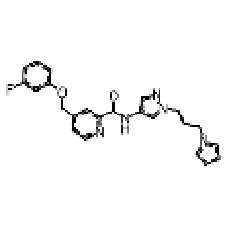 O=C(Nc1cnn(CCCn2cccc2)c1)c1cc(COc2cccc(F)c2)ccn1